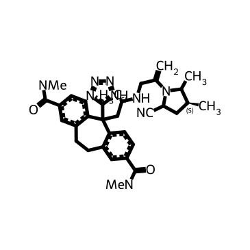 C=C(CN[C@@H](C)CC1(c2nnn[nH]2)c2ccc(C(=O)NC)cc2CCc2cc(C(=O)NC)ccc21)N1C(C#N)C[C@H](C)C1C